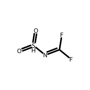 O=[SH](=O)N=C(F)F